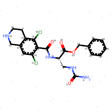 NC(=O)NC[C@H](NC(=O)c1c(Cl)cc2c(c1Cl)CCNC2)C(=O)OCc1ccccc1